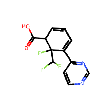 O=C(O)C1C=CC=C(c2ccncn2)C1(F)C(F)F